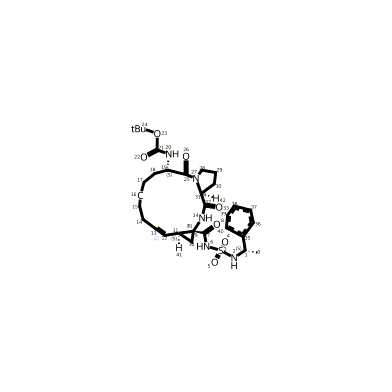 C[C@H](NS(=O)(=O)NC(=O)[C@@]12C[C@H]1/C=C\CCCCC[C@H](NC(=O)OC(C)(C)C)C(=O)N1CCC[C@H]1C(=O)N2)c1ccccc1